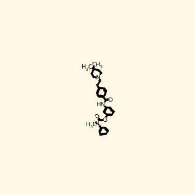 CN(C(=O)Oc1cccc(NC(=O)c2ccc(CCN3CCC(C)(C)CC3)cc2)c1)c1ccccc1